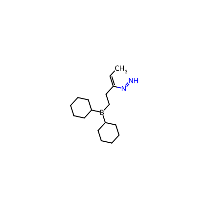 C/C=C(/CCB(C1CCCCC1)C1CCCCC1)N=N